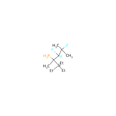 CC[Si](CC)(CC)C(C)(P)C(F)(F)C(C)(C)F